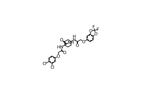 O=C(COc1ccc2c(c1)OC(F)(F)O2)NC12CCC(NC(=O)COc3ccc(Cl)c(Cl)c3)(CC1)C(=O)N2